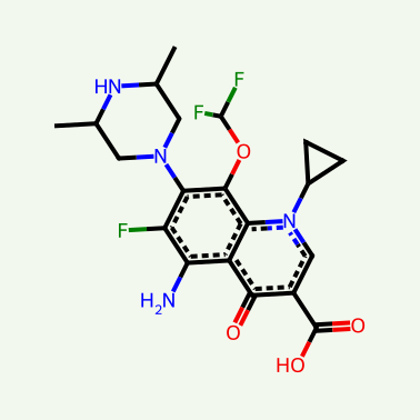 CC1CN(c2c(F)c(N)c3c(=O)c(C(=O)O)cn(C4CC4)c3c2OC(F)F)CC(C)N1